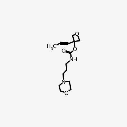 CC#CC1(OC(=O)NCCCN2CCOCC2)COC1